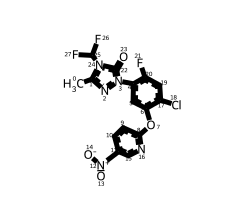 Cc1nn(-c2cc(Oc3ccc([N+](=O)[O-])cn3)c(Cl)cc2F)c(=O)n1C(F)F